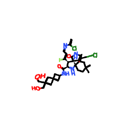 C=C(Cl)/N=C\C=C(/F)[C@H]1[C@H](C(=O)NC2CC3(C2)CC(CO)(CO)C3)NC2(CCC(C)(C)CC2)[C@@]12C(=O)Nc1cc(Cl)ccc12